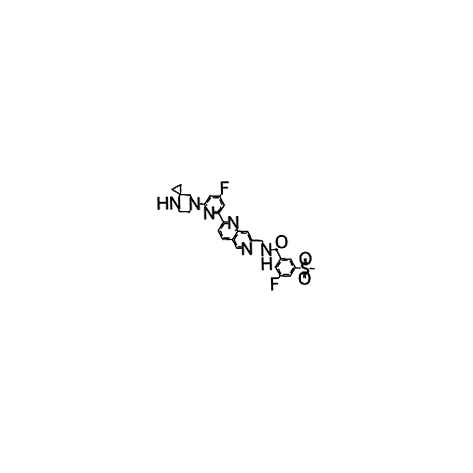 CS(=O)(=O)c1cc(F)cc(C(=O)NCc2cc3nc(-c4cc(F)cc(N5CCNC6(CC6)C5)n4)ccc3cn2)c1